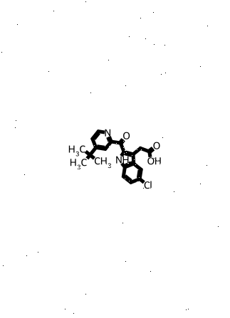 CC(C)(C)c1ccnc(C(=O)c2[nH]c3ccc(Cl)cc3c2CC(=O)O)c1